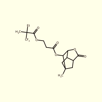 CCC(C)(C(=O)OCCC(=O)OC1C2OC(=O)C3CC1(C)CC32)C(F)(F)F